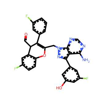 Nc1ncnc2c1c(-c1cc(O)cc(F)c1)nn2CC1=C(c2cccc(F)c2)C(C=O)c2cc(F)ccc2O1